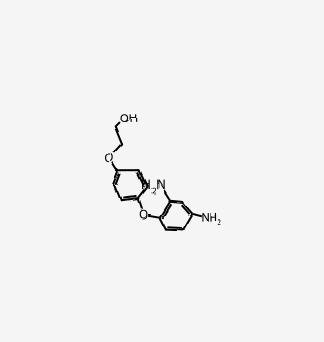 Nc1ccc(Oc2ccc(OCCO)cc2)c(N)c1